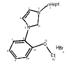 Br.CCCCCCCN1C=CN(c2ccccc2OCC)C1